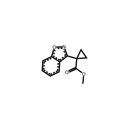 COC(=O)C1(c2noc3ccccc23)CC1